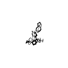 CC1(Oc2ccc3[nH]nc(-c4cc(N5CCN6CCCC6C5)ncn4)c3c2)CC1